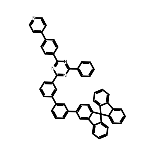 c1ccc(-c2nc(-c3ccc(-c4ccncc4)cc3)nc(-c3cccc(-c4cccc(-c5ccc6c(c5)-c5ccccc5C65c6ccccc6-c6ccccc65)c4)c3)n2)cc1